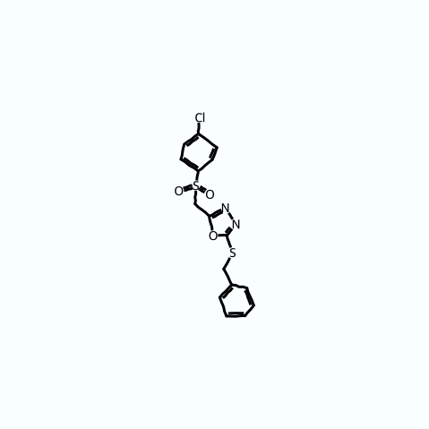 O=S(=O)(Cc1nnc(SCc2ccccc2)o1)c1ccc(Cl)cc1